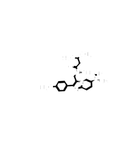 Cc1ccc(-c2nc3ccc(N(C)C)cn3c2CN(C)C(=O)CC(C)C)cc1